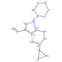 C=Cc1nn(C2CCCCC2)c2c1N=C(C1CC1)CC2